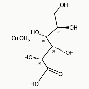 O.O=C(O)[C@H](O)[C@@H](O)[C@H](O)[C@H](O)CO.[Cu]